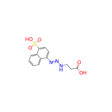 O=C(O)CCNN=Nc1ccc(S(=O)(=O)O)c2ccccc12